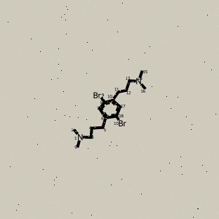 CN(C)CCCc1cc(Br)c(CCCN(C)C)cc1Br